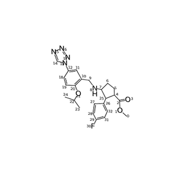 COC(=O)C1CCC(NCc2cc(-n3cnnn3)ccc2OC(C)C)C1c1ccc(F)cc1